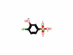 O=S(=O)(O)c1ccc(F)c(O)c1